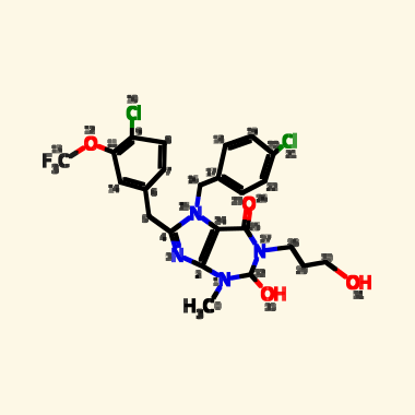 CN1c2nc(Cc3ccc(Cl)c(OC(F)(F)F)c3)n(Cc3ccc(Cl)cc3)c2C(=O)N(CCCO)C1O